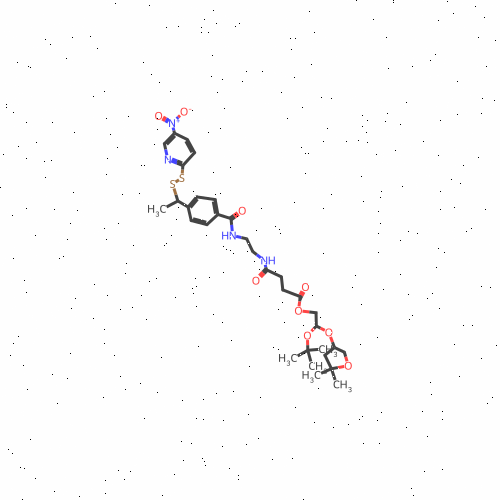 CC(SSc1ccc([N+](=O)[O-])cn1)c1ccc(C(=O)NCCNC(=O)CCC(=O)OCC(OC2COC(C)(C)C2)OC(C)(C)C)cc1